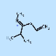 C=CS/C(=N\C)C(C)C